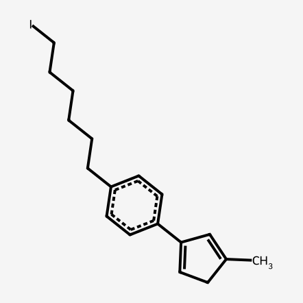 CC1=CC(c2ccc(CCCCCCI)cc2)=CC1